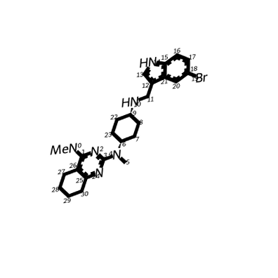 CNc1nc(N(C)[C@H]2CC[C@@H](NCc3c[nH]c4ccc(Br)cc34)CC2)nc2c1CCCC2